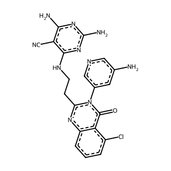 N#Cc1c(N)nc(N)nc1NCCc1nc2cccc(Cl)c2c(=O)n1-c1cncc(N)c1